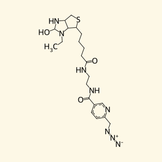 CCN1C(O)NC2CSC(CCCCC(=O)NCCNC(=O)c3ccc(CN=[N+]=[N-])nc3)C21